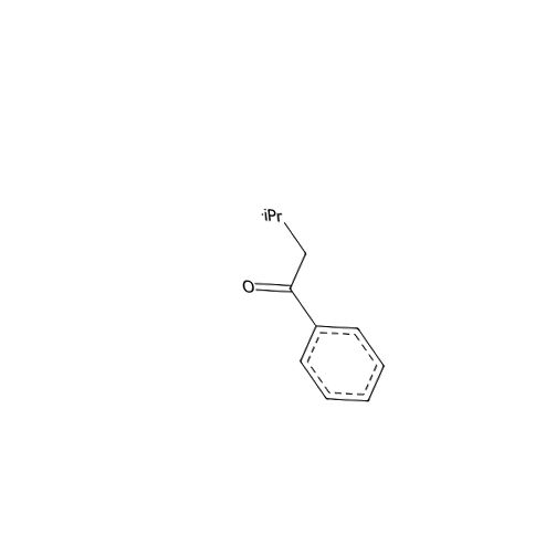 C[C](C)CC(=O)c1ccccc1